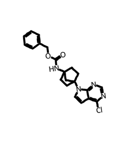 O=C(NC12CCC(n3ccc4c(Cl)ncnc43)(CC1)C2)OCc1ccccc1